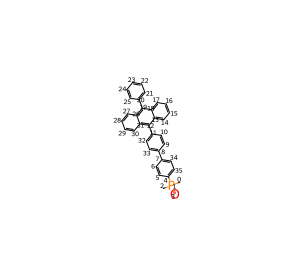 CP(C)(=O)c1ccc(-c2ccc(-c3c4ccccc4c(-c4ccccc4)c4ccccc34)cc2)cc1